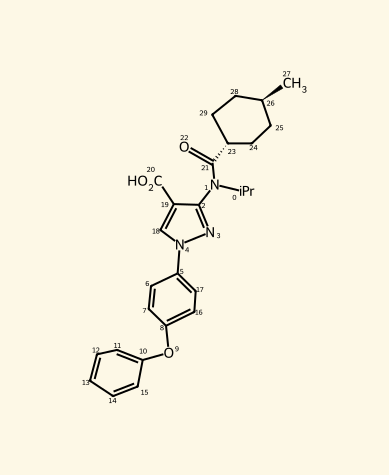 CC(C)N(c1nn(-c2ccc(Oc3ccccc3)cc2)cc1C(=O)O)C(=O)[C@H]1CC[C@H](C)CC1